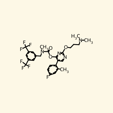 Cc1cc(F)ccc1-c1cnc(OCCCN(C)C)nc1OC(=O)N(C)Cc1cc(C(F)(F)F)cc(C(F)(F)F)c1